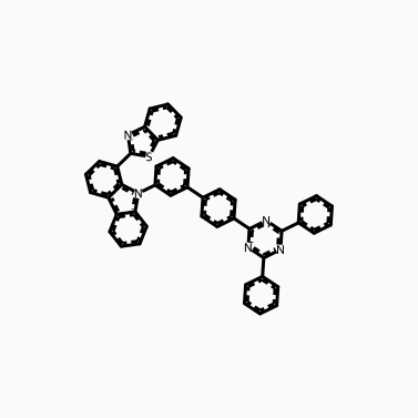 c1ccc(-c2nc(-c3ccccc3)nc(-c3ccc(-c4cccc(-n5c6ccccc6c6cccc(-c7nc8ccccc8s7)c65)c4)cc3)n2)cc1